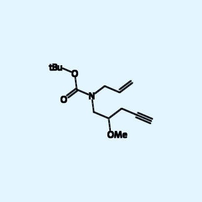 C#CCC(CN(CC=C)C(=O)OC(C)(C)C)OC